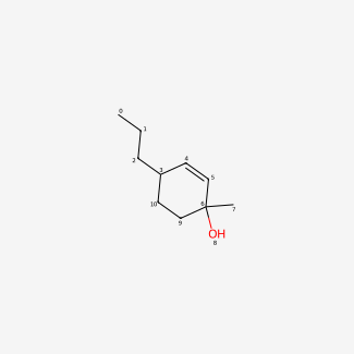 CCCC1C=CC(C)(O)CC1